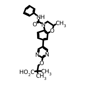 CC1CN(C(=O)Nc2ccccc2)c2ccc(-c3cnc(OCC(C)(C)C(=O)O)nc3)cc2O1